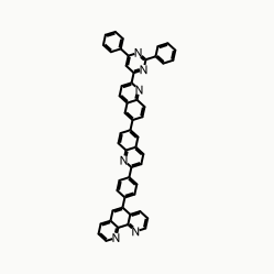 c1ccc(-c2cc(-c3ccc4cc(-c5ccc6nc(-c7ccc(-c8cc9cccnc9c9ncccc89)cc7)ccc6c5)ccc4n3)nc(-c3ccccc3)n2)cc1